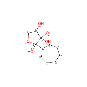 OC1COC(O)(C2CCCCCC2)C1(O)O